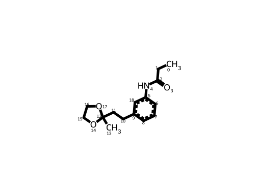 CCC(=O)Nc1cccc(CCC2(C)OCCO2)c1